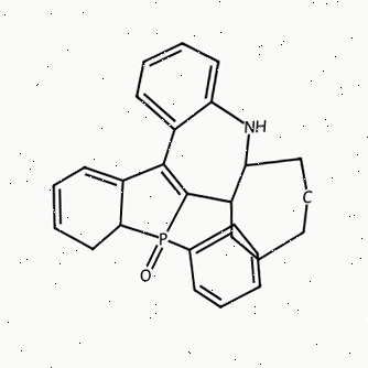 O=P1(c2ccccc2)C2=C(C3=CC=CCC31)c1ccccc1NC1CCCCCC21